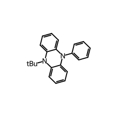 CC(C)(C)N1c2ccccc2N(c2ccccc2)c2ccccc21